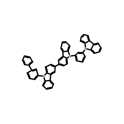 c1ccc(-c2cccc(-n3c4ccccc4c4cc(-c5ccc6c(c5)c5ccccc5n6-c5cccc(-n6c7ccccc7c7ccccc76)c5)ccc43)c2)cc1